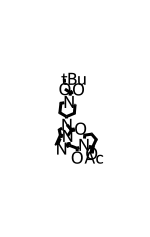 CC(=O)OC(c1ncc2n1C(=O)N(C1CCN(C(=O)OC(C)(C)C)CC1)C2)N1CCCC1=O